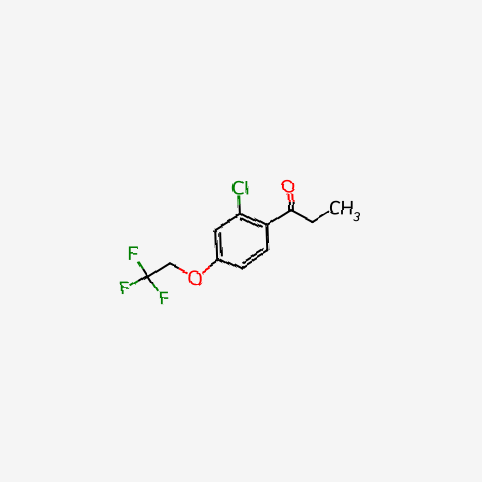 CCC(=O)c1ccc(OCC(F)(F)F)cc1Cl